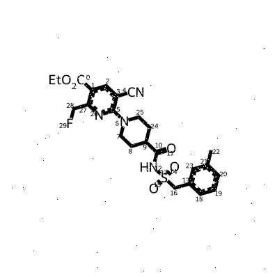 CCOC(=O)c1cc(C#N)c(N2CCC(C(=O)NS(=O)(=O)Cc3cccc(C)c3)CC2)nc1CF